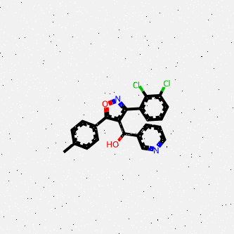 Cc1ccc(-c2onc(-c3cccc(Cl)c3Cl)c2C(O)c2cccnc2)cc1